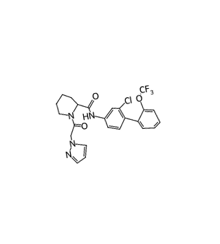 O=C(Nc1ccc(-c2ccccc2OC(F)(F)F)c(Cl)c1)C1CCCCN1C(=O)Cn1cccn1